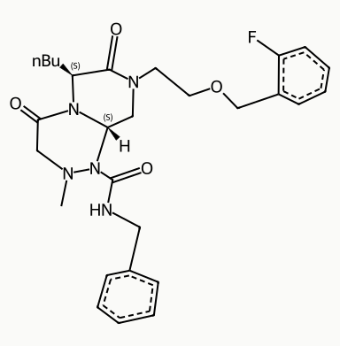 CCCC[C@H]1C(=O)N(CCOCc2ccccc2F)C[C@H]2N1C(=O)CN(C)N2C(=O)NCc1ccccc1